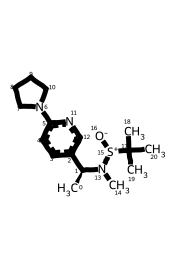 C[C@@H](c1ccc(N2CCCC2)nc1)N(C)[S+]([O-])C(C)(C)C